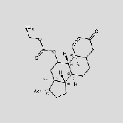 CC(=O)[C@H]1CC[C@H]2[C@@H]3CCC4CC(=O)C=C[C@]4(C)[C@H]3C(OC(=O)OCC(Cl)(Cl)Cl)C[C@]12C